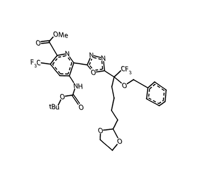 COC(=O)c1nc(-c2nnc(C(CCCCC3OCCO3)(OCc3ccccc3)C(F)(F)F)o2)c(NC(=O)OC(C)(C)C)cc1C(F)(F)F